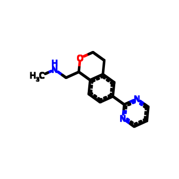 CNCC1OCCc2cc(-c3ncccn3)ccc21